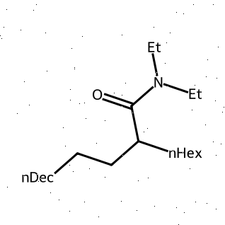 CCCCCCCCCCCCC(CCCCCC)C(=O)N(CC)CC